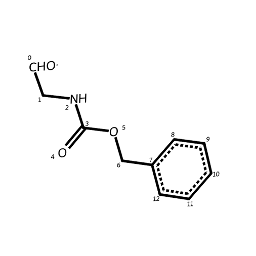 O=[C]CNC(=O)OCc1ccccc1